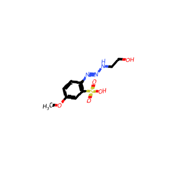 COc1ccc(N=NNCCO)c(S(=O)(=O)O)c1